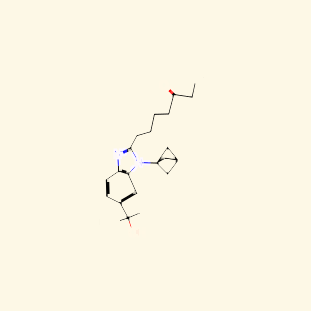 CC(C)(C)CC(=O)CCCCc1nc2ccc(C(C)(C)O)cc2n1C12CC(C1)C2